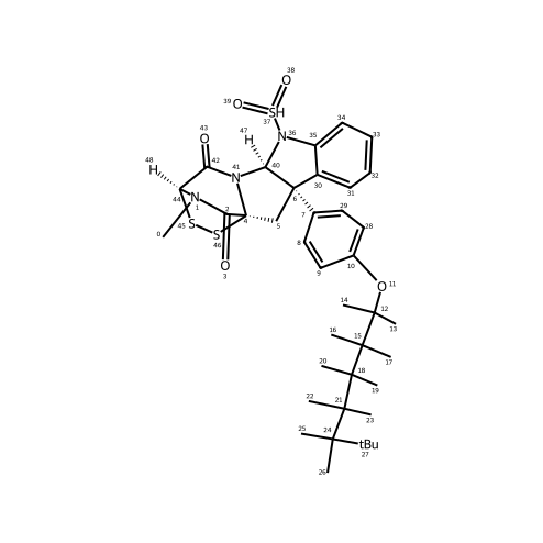 CN1C(=O)[C@@]23C[C@]4(c5ccc(OC(C)(C)C(C)(C)C(C)(C)C(C)(C)C(C)(C)C(C)(C)C)cc5)c5ccccc5N([SH](=O)=O)[C@@H]4N2C(=O)[C@@H]1SS3